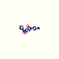 Cc1ccc(-c2noc(C)c2Cn2ncc(N3CCN(C4CC4)[C@@H](C)C3)cc2=O)cn1